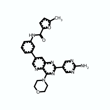 Cc1ccc(C(=O)Nc2cccc(-c3cnc4c(N5CCOCC5)nc(-c5cnc(N)nc5)nc4c3)c2)o1